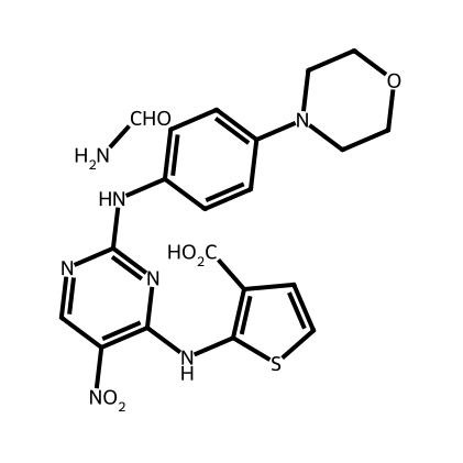 NC=O.O=C(O)c1ccsc1Nc1nc(Nc2ccc(N3CCOCC3)cc2)ncc1[N+](=O)[O-]